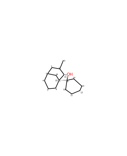 CC1CC2CCC[C@](C3(O)CCCCC3)(C1)C2